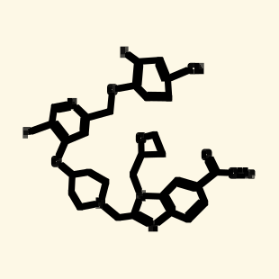 COC(=O)c1ccc2nc(CN3CCC(Oc4cc(COc5ccc(C#N)cc5F)ncc4F)CC3)n(CC3CCO3)c2c1